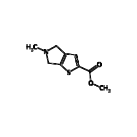 COC(=O)c1cc2c(s1)CN(C)C2